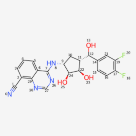 N#Cc1cccc2c(N[C@@H]3C[C@H](C(O)c4ccc(F)c(F)c4)[C@@H](O)[C@H]3O)ncnc12